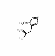 C=C(C)Cc1cnnn1C